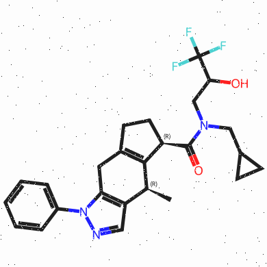 C[C@@H]1C2=C(CC[C@H]2C(=O)N(CC2CC2)CC(O)C(F)(F)F)Cc2c1cnn2-c1ccccc1